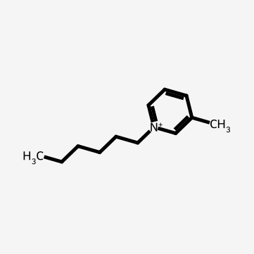 CCCCCC[n+]1cccc(C)c1